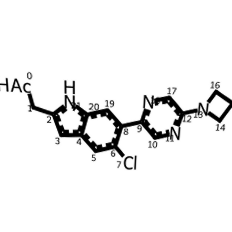 CC(=O)NCc1cc2cc(Cl)c(-c3cnc(N4CCC4)cn3)cc2[nH]1